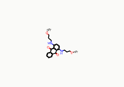 CCCOCCCNc1ccc(NCCCOCCC)c2c1C(=O)c1ccccc1C2=O